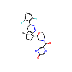 O=C(c1c[nH]c(=O)cn1)N1CCO[C@H]([C@]23CC[C@H](C2)c2cc(-c4c(F)cccc4F)nnc23)C1